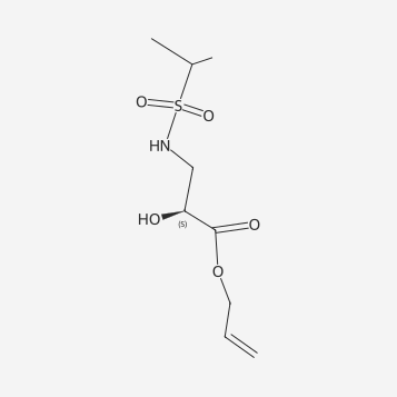 C=CCOC(=O)[C@@H](O)CNS(=O)(=O)C(C)C